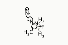 Cc1cc(N2CC3CN(C=O)CC3C2)nc(C(C)(C)F)c1